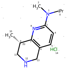 CC(C)N(C)c1ccc2c(n1)[C@@H](C)CNC2.Cl